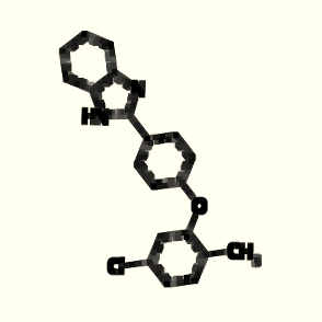 Cc1ccc(Cl)cc1Oc1ccc(-c2nc3ccccc3[nH]2)cc1